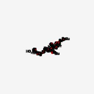 CC(C)C[C@H](NC(=O)[C@H](Cc1ccc(OC(C)(C)C)cc1)NC(=O)[C@H](CCc1ccccc1)NC(=O)CNC(=O)[C@H](CC(C)C)NC(=O)[C@@H]1CCCN1C(=O)CNC(=O)CCCC(=O)OC(C)(C)C)C(=O)NNC(=O)c1ccc(CNC(=O)c2ccc(NN=Cc3ccccc3S(=O)(=O)O)nc2)cc1